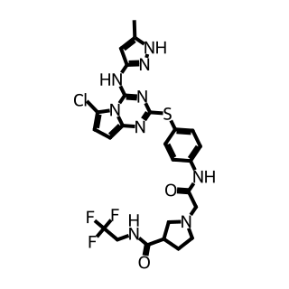 Cc1cc(Nc2nc(Sc3ccc(NC(=O)CN4CCC(C(=O)NCC(F)(F)F)C4)cc3)nc3ccc(Cl)n23)n[nH]1